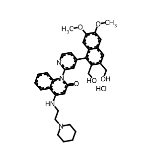 COc1cc2cc(CO)c(CO)c(-c3ccnc(-n4c(=O)cc(NCCN5CCCCC5)c5ccccc54)c3)c2cc1OC.Cl